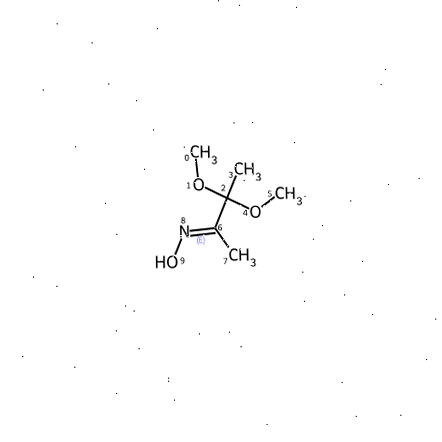 COC(C)(OC)/C(C)=N/O